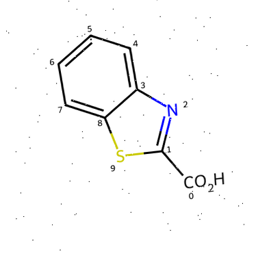 O=C(O)c1nc2c[c]ccc2s1